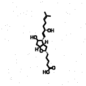 CC(C)=CCC[C@H](O)/C=C/[C@@H]1[C@H]2C[C@H](CCCCC(=O)O)O[C@H]2C[C@H]1O